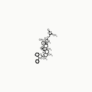 CC(=O)O[C@H]1CC[C@@]2(C)[C@@H](CC[C@]3(C)[C@@H]2C(=O)C=C2[C@@H]4C[C@@](C)(C(=O)OC(c5ccccc5)c5ccccc5)CC[C@]4(C)CC[C@]23C)[C@]1(C)NC(=O)OCc1oc(=O)oc1C